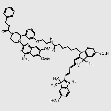 CC[N+]1=C(/C=C/C=C/C=C2/N(CCCCCC(=O)NCCOc3cccc(C4CN(C(=O)CCc5ccccc5)CCN4c4nc(N)c5cc(OC)c(OC)cc5n4)c3)c3ccc(S(=O)(=O)O)cc3C2(C)C)C(C)(C)c2cc(S(=O)(=O)O)ccc21